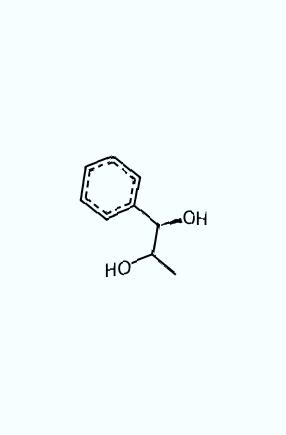 CC(O)[C@H](O)c1ccccc1